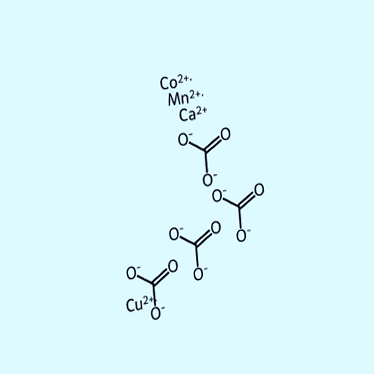 O=C([O-])[O-].O=C([O-])[O-].O=C([O-])[O-].O=C([O-])[O-].[Ca+2].[Co+2].[Cu+2].[Mn+2]